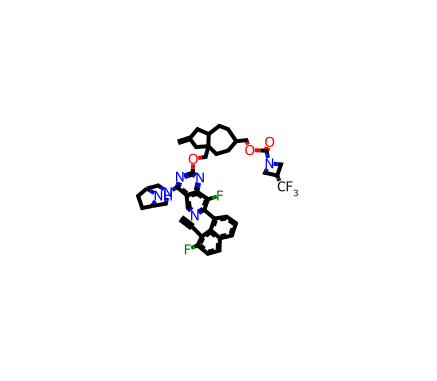 C#Cc1c(F)ccc2cccc(-c3ncc4c(N5CC6CCC(C5)N6)nc(OCC56CCC(COC(=O)N7CC(C(F)(F)F)C7)CCC5CC(=C)C6)nc4c3F)c12